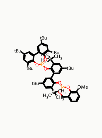 COc1cccc2c1OP(Oc1c(-c3cc(C(C)(C)C)cc([Si](C)(C)C)c3Op3oc4c(C(C)(C)C)cc(C(C)(C)C)cc4c4cc(C(C)(C)C)cc(C(C)(C)C)c4o3)cc(C(C)(C)C)cc1[Si](C)(C)C)OC2